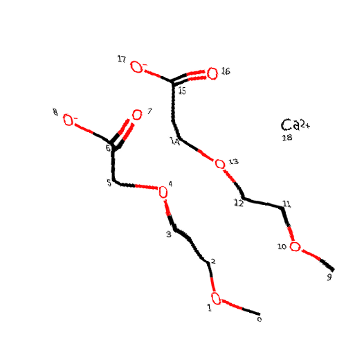 COCCOCC(=O)[O-].COCCOCC(=O)[O-].[Ca+2]